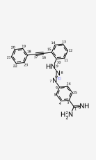 N=C(N)c1ccc(/N=N/Nc2ccccc2C#Cc2ccccc2)cc1